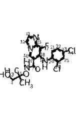 CC(C)(CO)ONC(=O)c1cn2ccnc2c(F)c1Nc1ccc(Cl)cc1Cl